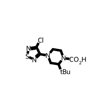 CC(C)(C)C1CN(c2nsnc2Cl)CCN1C(=O)O